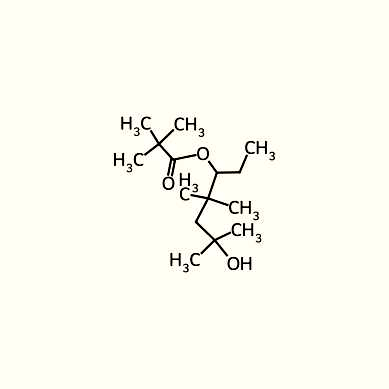 CCC(OC(=O)C(C)(C)C)C(C)(C)CC(C)(C)O